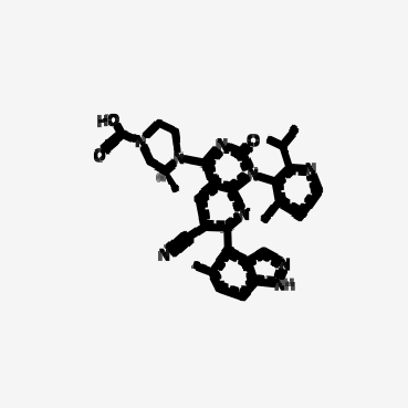 Cc1ccnc(C(C)C)c1-n1c(=O)nc(N2CCN(C(=O)O)C[C@@H]2C)c2cc(C#N)c(-c3c(C)ccc4[nH]ncc34)nc21